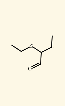 C[CH]C(C=O)SCC